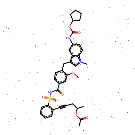 COc1cc(C(=O)NS(=O)(=O)c2ccccc2C#CCC(C)OC(C)=O)ccc1Cc1cn(C)c2ccc(NC(=O)OC3CCCC3)cc12